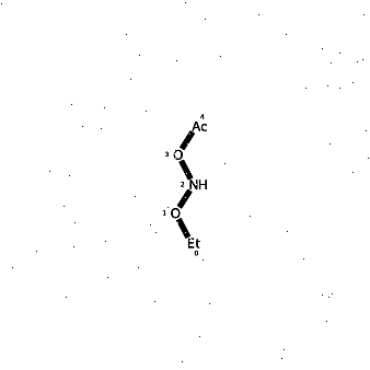 CCONOC(C)=O